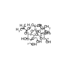 C=C(C)C(=O)O[C@H]1[C@@H](O[C@]2(CO)O[C@H](CO)[C@@H](O)[C@@H]2OC(=O)C(=C)C)O[C@H](CO)[C@@H](O)[C@@H]1OC(=O)C(=C)C